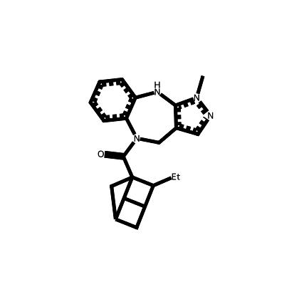 CCC1C2CC3CC1(C(=O)N1Cc4cnn(C)c4Nc4ccccc41)C32